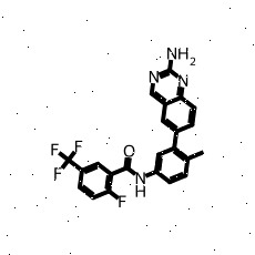 Cc1ccc(NC(=O)c2cc(C(F)(F)F)ccc2F)cc1-c1ccc2nc(N)ncc2c1